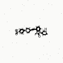 Cn1c(=O)n([C@@H]2CCCNC2)c2cccc(C#CC3CCN(c4ccc([N+](=O)[O-])nc4)CC3)c21